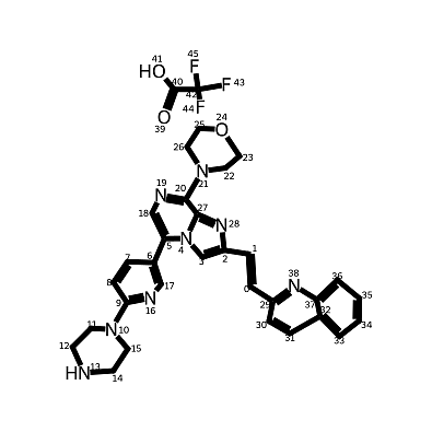 C(=Cc1cn2c(-c3ccc(N4CCNCC4)nc3)cnc(N3CCOCC3)c2n1)c1ccc2ccccc2n1.O=C(O)C(F)(F)F